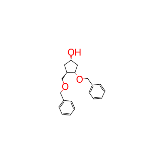 O[C@@H]1C[C@H](COCc2ccccc2)[C@@H](OCc2ccccc2)C1